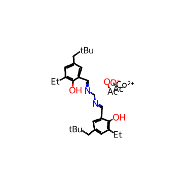 CC(=O)[O-].CC(=O)[O-].CCc1cc(CC(C)(C)C)cc(C=NCN=Cc2cc(CC(C)(C)C)cc(CC)c2O)c1O.[Co+2]